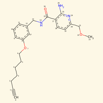 C#CCCCCCOc1cccc(CNC(=O)c2ccc(COC)nc2N)c1